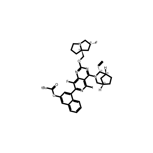 C=C[C@@H]1[C@@H]2CC[C@@H](C2)CN1c1nc(OC[C@@]23CCCN2C[C@H](F)C3)nc2c(F)c(-c3cc(OC(=O)C(C)(C)C)cc4ccccc34)nc(I)c12